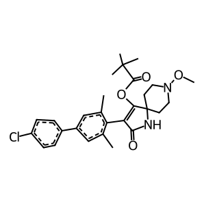 CON1CCC2(CC1)NC(=O)C(c1c(C)cc(-c3ccc(Cl)cc3)cc1C)=C2OC(=O)C(C)(C)C